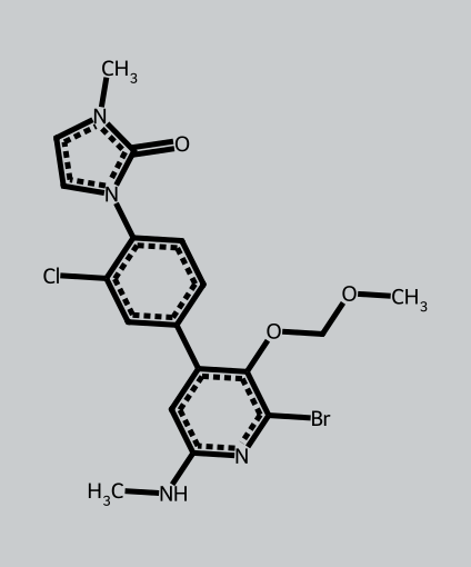 CNc1cc(-c2ccc(-n3ccn(C)c3=O)c(Cl)c2)c(OCOC)c(Br)n1